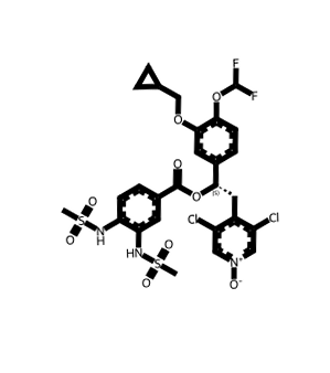 CS(=O)(=O)Nc1ccc(C(=O)O[C@@H](Cc2c(Cl)c[n+]([O-])cc2Cl)c2ccc(OC(F)F)c(OCC3CC3)c2)cc1NS(C)(=O)=O